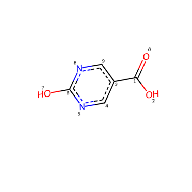 O=C(O)c1cnc(O)nc1